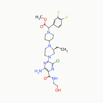 CC[C@H]1CN(c2nc(N)c(C(=O)NCCO)nc2Cl)CCN1C1CCN(C(C(=O)OC)c2ccc(F)c(F)c2)CC1